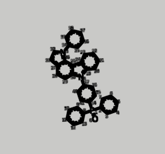 O=P(c1ccccc1)(c1ccccc1)c1ccc(-n2c3ccccc3c3c4c(ccc32)ccn4-c2ccccc2)cc1